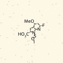 COc1cc(F)nc2c1cc(C(=O)O)n2SOI